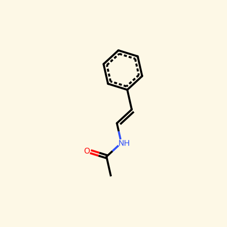 CC(=O)N/C=C/c1ccccc1